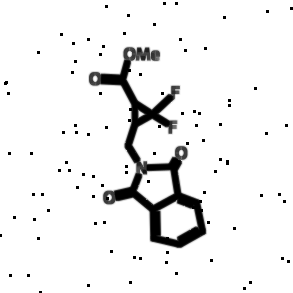 COC(=O)C1C(CN2C(=O)c3ccccc3C2=O)C1(F)F